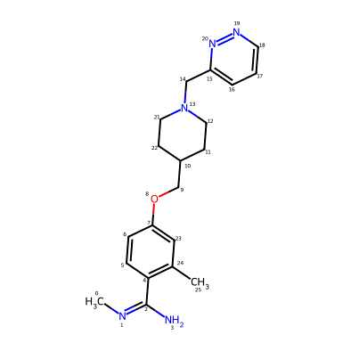 C/N=C(/N)c1ccc(OCC2CCN(Cc3cccnn3)CC2)cc1C